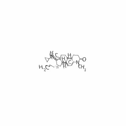 C=CC[C@H]1C[C@H]2[C@@H]3CC=C4N(C)C(=O)CC[C@]4(C)[C@H]3CC[C@]2(C)[C@H]1NC1CC1